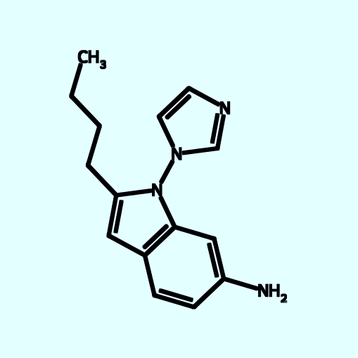 CCCCc1cc2ccc(N)cc2n1-n1ccnc1